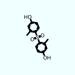 Cc1cc(O)ccc1S(=O)(=O)c1ccc(O)cc1C